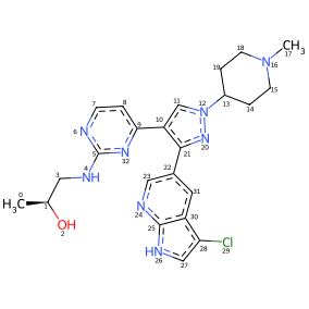 C[C@H](O)CNc1nccc(-c2cn(C3CCN(C)CC3)nc2-c2cnc3[nH]cc(Cl)c3c2)n1